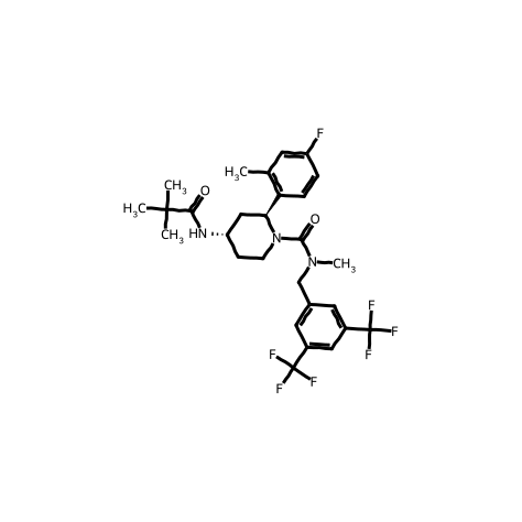 Cc1cc(F)ccc1[C@@H]1C[C@@H](NC(=O)C(C)(C)C)CCN1C(=O)N(C)Cc1cc(C(F)(F)F)cc(C(F)(F)F)c1